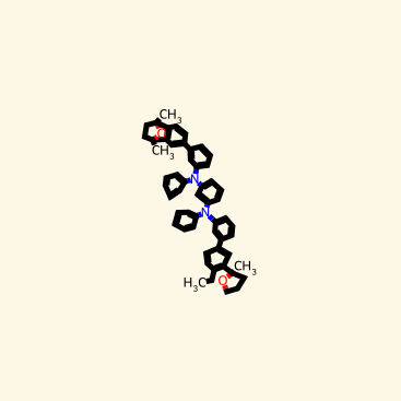 CCc1ccc(-c2cccc(N(c3ccccc3)c3cccc(N(c4ccccc4)c4cccc(-c5ccc6c(c5)C5(C)CCC6(C)O5)c4)c3)c2)cc1C1(C)CCCO1